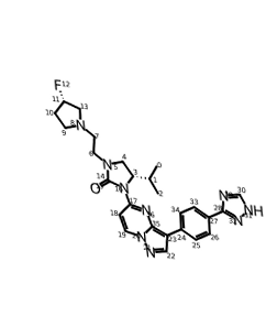 CC(C)[C@H]1CN(CCN2CC[C@H](F)C2)C(=O)N1c1ccn2ncc(-c3ccc(-c4nc[nH]n4)cc3)c2n1